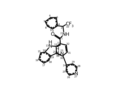 O=C(NC(c1ccccc1)C(F)(F)F)C1=C2Nc3ccccc3C23NCN(c2ccncc2)C3C=C1